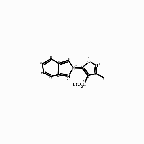 CCOC(=O)c1c(C)noc1-n1cc2ccccc2n1